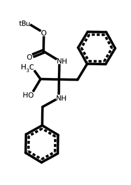 CC(O)C(Cc1ccccc1)(NCc1ccccc1)NC(=O)OC(C)(C)C